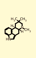 CN1CC(C)(C)C[C@@H]2c3cccc4[nH]cc(c34)C[C@H]21